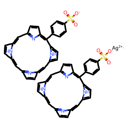 O=S(=O)([O-])c1ccc(-c2c3nc(cc4ccc(cc5nc(cc6ccc2[nH]6)C=C5)[nH]4)C=C3)cc1.O=S(=O)([O-])c1ccc(-c2c3nc(cc4ccc(cc5nc(cc6ccc2[nH]6)C=C5)[nH]4)C=C3)cc1.[Ag+2]